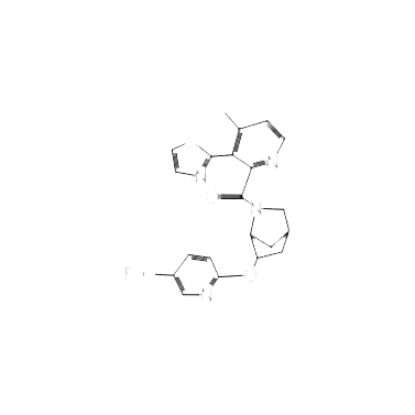 Cc1ccnc(C(=O)N2CC3CC(Oc4ccc(C(F)(F)F)cn4)C2C3)c1-c1nccs1